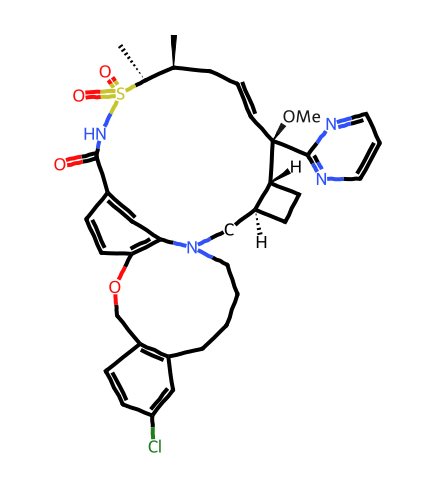 CO[C@]1(c2ncccn2)/C=C/C[C@H](C)[C@@H](C)S(=O)(=O)NC(=O)c2ccc3c(c2)N(CCCCc2cc(Cl)ccc2CO3)C[C@@H]2CC[C@H]21